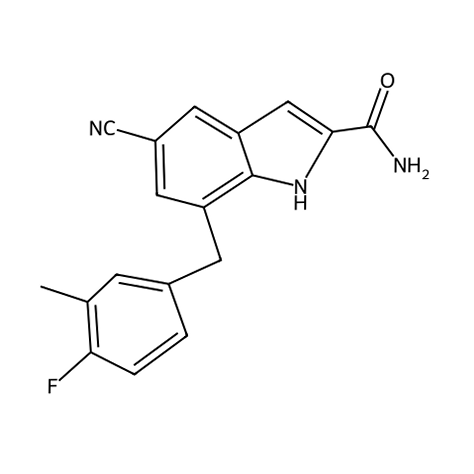 Cc1cc(Cc2cc(C#N)cc3cc(C(N)=O)[nH]c23)ccc1F